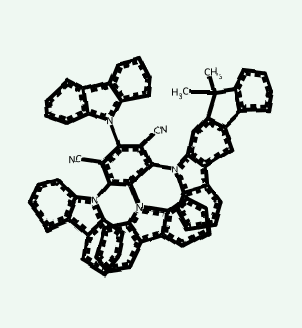 CC1(C)c2ccccc2-c2cc3c4ccccc4n(-c4c(C#N)c(-n5c6ccccc6c6ccccc65)c(C#N)c(-n5c6ccccc6c6ccccc65)c4-n4c5ccccc5c5ccccc54)c3cc21